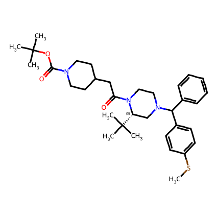 CSc1ccc(C(c2ccccc2)N2CCN(C(=O)CC3CCN(C(=O)OC(C)(C)C)CC3)[C@@H](C(C)(C)C)C2)cc1